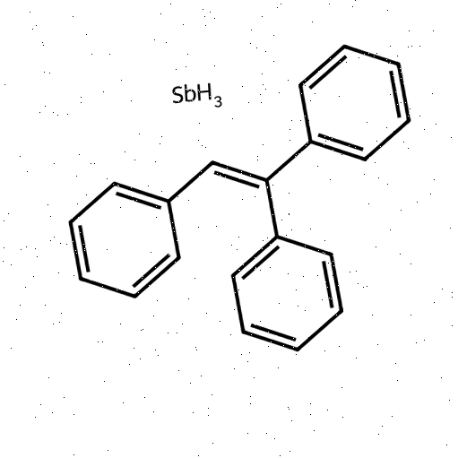 C(=C(c1ccccc1)c1ccccc1)c1ccccc1.[SbH3]